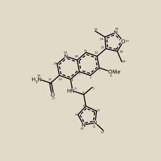 COc1cc2c(NC(C)c3cnn(C)c3)c(C(N)=O)cnc2cc1-c1c(C)noc1C